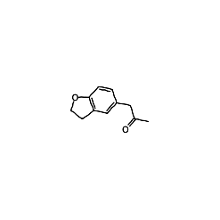 CC(=O)Cc1ccc2c(c1)CCO2